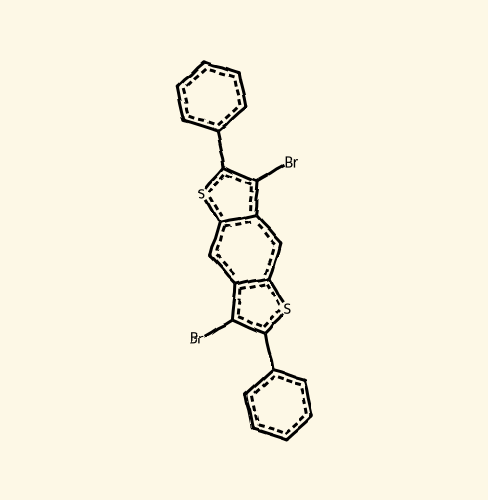 Brc1c(-c2ccccc2)sc2cc3c(Br)c(-c4ccccc4)sc3cc12